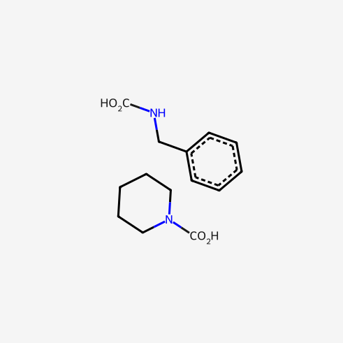 O=C(O)N1CCCCC1.O=C(O)NCc1ccccc1